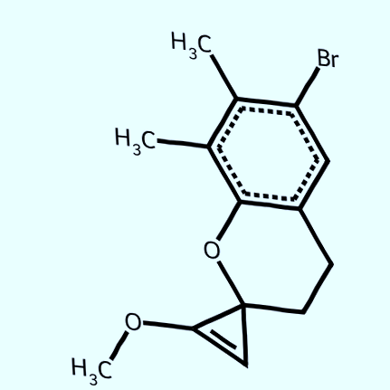 COC1=CC12CCc1cc(Br)c(C)c(C)c1O2